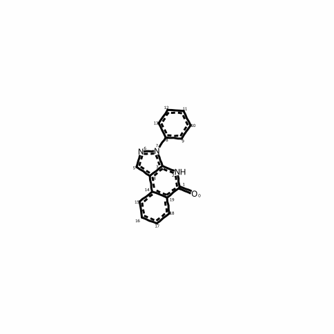 O=c1[nH]c2c(cnn2-c2ccccc2)c2ccccc12